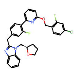 Fc1cc(Cl)ccc1COc1cccc(-c2ccc(Cc3nc4ccccc4n3C[C@H]3CCCO3)cc2F)n1